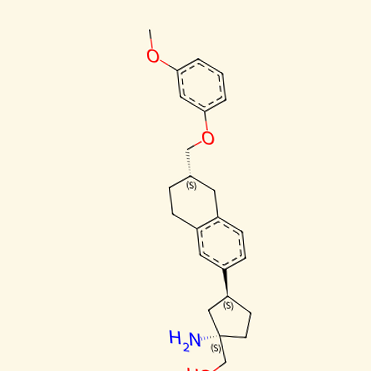 COc1cccc(OC[C@H]2CCc3cc([C@H]4CC[C@@](N)(CO)C4)ccc3C2)c1